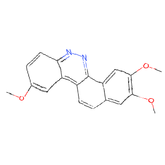 COc1ccc2nnc3c4cc(OC)c(OC)cc4ccc3c2c1